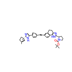 CC1=C[C@@H](c2ncc(-c3ccc(C#Cc4ccc5c(c4)CCc4nc(C6CCCN6C(=O)OC(C)(C)C)[nH]c4-5)cc3)[nH]2)CC1